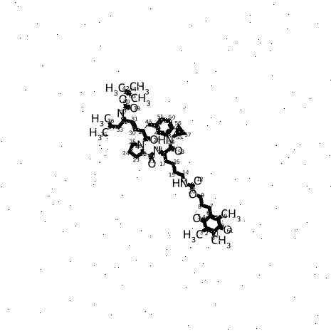 CC1=C(C)C(=O)C(CCCOC(=O)NCCCC/C(=N\C(=O)[C@@H]2CCCN2C(=O)[C@H](/C=C/C(CC(C)C)=N\C(=O)OC(C)(C)C)Cc2ccccc2)C(=O)NC2CC2)=C(C)C1=O